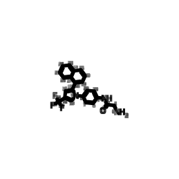 NCC(=O)Nc1ccc(-n2cc(C(F)(F)F)cc2-c2cccc3ccccc23)cc1